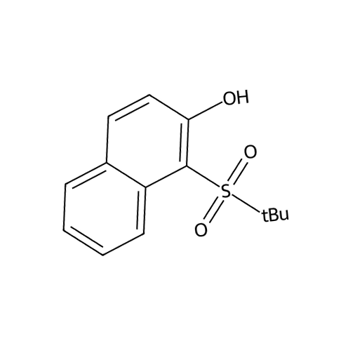 CC(C)(C)S(=O)(=O)c1c(O)ccc2ccccc12